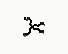 [SiH3]CCC(CC[SiH3])(CC[SiH3])CC[SiH3]